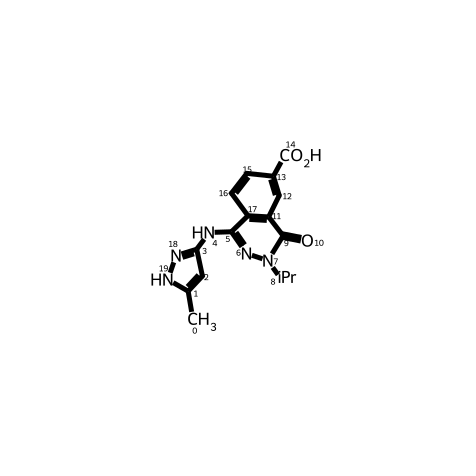 Cc1cc(Nc2nn(C(C)C)c(=O)c3cc(C(=O)O)ccc23)n[nH]1